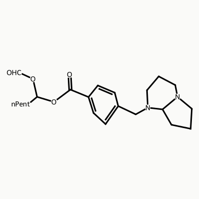 CCCCCC(OC=O)OC(=O)c1ccc(CN2CCCN3CCCC32)cc1